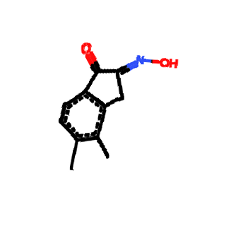 Cc1ccc2c(c1C)CC(=NO)C2=O